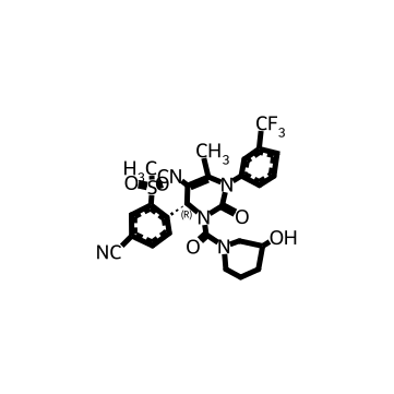 [C-]#[N+]C1=C(C)N(c2cccc(C(F)(F)F)c2)C(=O)N(C(=O)N2CCCC(O)C2)[C@@H]1c1ccc(C#N)cc1S(C)(=O)=O